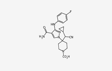 N#CC(C1CC1)C1(n2cc(C(N)=O)c(Nc3ccc(F)cc3)n2)CCN(C(=O)O)CC1